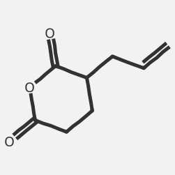 C=CCC1CCC(=O)OC1=O